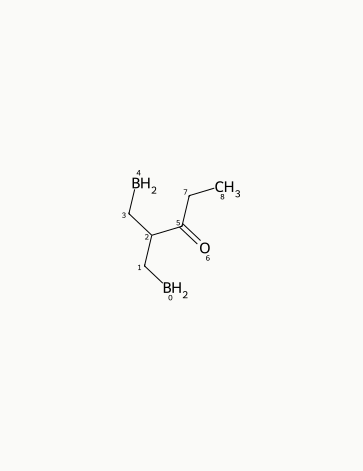 BCC(CB)C(=O)CC